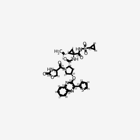 C=C[C@@H]1C[C@]1(NC(=O)[C@@H]1C[C@@H](Oc2nc3ccccc3nc2-c2cccs2)CN1C(=O)C1COC(=O)N1)C(=O)NS(=O)(=O)C1CC1